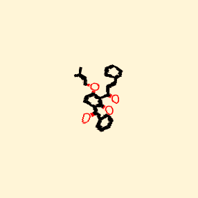 CC(C)=CCOc1ccc2c(=O)c3ccccc3oc2c1C(=O)C=Cc1ccccc1